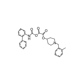 Cc1ccccc1CN1CCC(OC(=O)C(=O)OC(=O)Nc2ccccc2-c2ccccc2)CC1